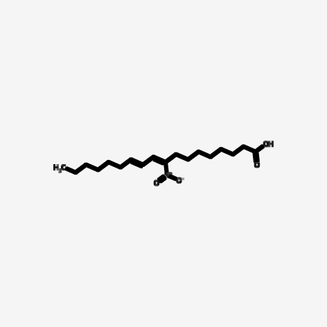 CCCCCC/C=C/C=C(/CCCCCCCC(=O)O)[N+](=O)[O-]